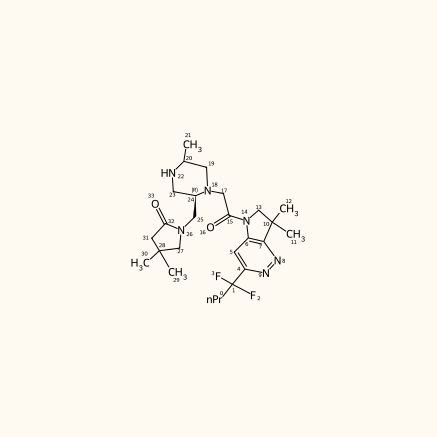 CCCC(F)(F)c1cc2c(nn1)C(C)(C)CN2C(=O)CN1CC(C)NC[C@@H]1CN1CC(C)(C)CC1=O